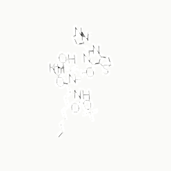 C=CCCCCCC(NC(=O)OC(C)(C)C)C(=O)N1CC(Oc2nc(-c3ccnn3C)nc3ccsc23)CC1C(=O)O.[KH]